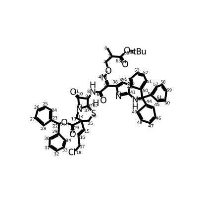 CC(CON=C(C(=O)NC1C(=O)N2CC(C=CCCl)(C(=O)OC(c3ccccc3)c3ccccc3)CS[C@H]12)c1csc(NC(c2ccccc2)(c2ccccc2)c2ccccc2)n1)C(=O)OC(C)(C)C